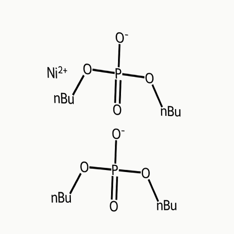 CCCCOP(=O)([O-])OCCCC.CCCCOP(=O)([O-])OCCCC.[Ni+2]